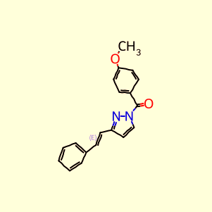 COc1ccc(C(=O)n2ccc(/C=C/c3ccccc3)n2)cc1